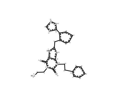 CCCn1c(=O)c2[nH]c(Cc3ccccc3-c3ncon3)nc2n(CCc2ccccc2)c1=O